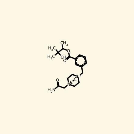 C[C@@H](OC(=O)c1cccc(C[N+]23CC[N+](CC(N)=O)(CC2)CC3)c1)C(C)(C)C